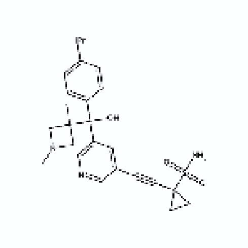 CC(C)c1ccc(C(O)(c2cncc(C#CC3(S(N)(=O)=O)CC3)c2)C2(C)CN(C)C2)cc1